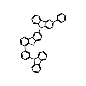 c1ccc(-c2ccc3c(c2)c2ccccc2n3-c2ccc3sc4c(-c5cccc(-n6c7ccccc7c7ccccc76)c5)cccc4c3c2)cc1